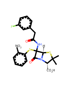 CC1(C)S[C@H]2N(C(=O)C2(NC(=O)Cc2cccc(F)c2)Sc2ccccc2[N+](=O)[O-])[C@H]1C(=O)O